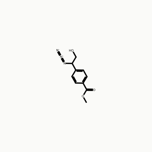 COC(=O)c1ccc(C(CO)N=[N+]=[N-])cc1